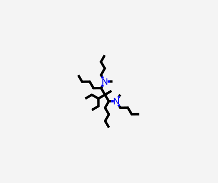 CCCCC(N(C)CCCC)C(C)(C(CC)CC)C(CCCC)N(C)CCCC